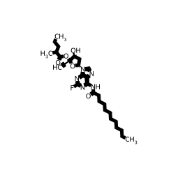 C#C[C@]1(OC(=O)C(C)CCC)O[C@@H](n2cnc3c(NC(=O)CCCCCCCCCCC)nc(F)nc32)C[C@@H]1O